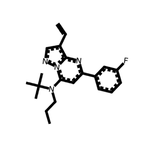 C=Cc1cnn2c(N(CCC)C(C)(C)C)cc(-c3cccc(F)c3)nc12